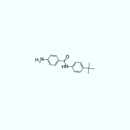 CC(C)(C)c1ccc(NC(=O)c2ccc(N)cc2)cc1